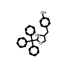 Oc1ccc(CC2COC(C(c3ccccc3)(c3ccccc3)c3ccccc3)N2)cc1